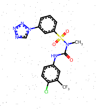 CN(C(=O)Nc1ccc(Cl)c(C(F)(F)F)c1)S(=O)(=O)c1cccc(-n2cnnn2)c1